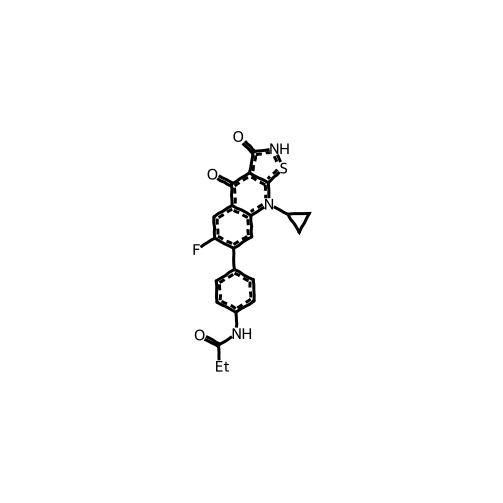 CCC(=O)Nc1ccc(-c2cc3c(cc2F)c(=O)c2c(=O)[nH]sc2n3C2CC2)cc1